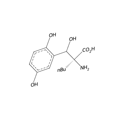 CCCC[C@@](N)(C(=O)O)C(O)c1cc(O)ccc1O